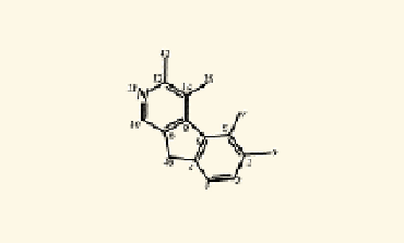 Cc1ccc2c(c1C)-c1c(cnc(C)c1C)C2